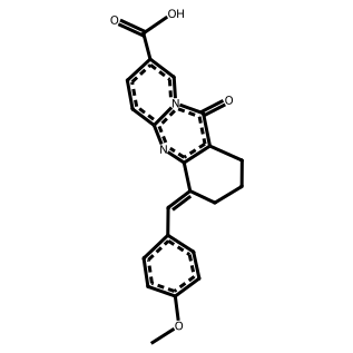 COc1ccc(C=C2CCCc3c2nc2ccc(C(=O)O)cn2c3=O)cc1